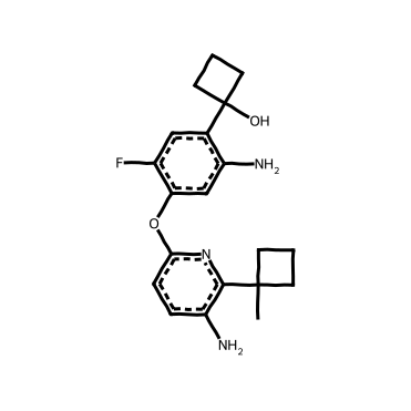 CC1(c2nc(Oc3cc(N)c(C4(O)CCC4)cc3F)ccc2N)CCC1